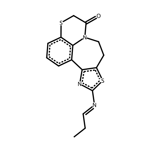 CCC=Nc1nc2c(s1)CCN1C(=O)CSc3cccc-2c31